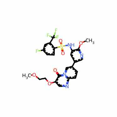 COCCOc1cnc2ccc(-c3cnc(OC)c(NS(=O)(=O)c4ccc(F)cc4C(F)(F)F)c3)cn2c1=O